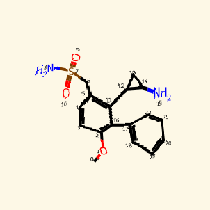 COc1ccc(CS(N)(=O)=O)c(C2CC2N)c1-c1ccccc1